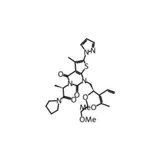 C=C/C(=C(\C)OC)[C@H](Cn1c(=O)n([C@H](C)C(=O)N2CCCC2)c(=O)c2c(C)c(-n3cccn3)sc21)OCCOC